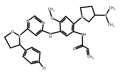 C=CC(=O)Nc1cc(Nc2cc(N3OCCC3c3ccc(Cl)cc3)ncn2)c(OC)cc1N1CCC(N(C)C)C1